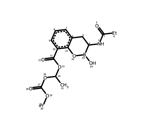 CCC(=O)NC1Cc2cccc(C(=O)OC(C)OC(=O)OC(C)C)c2OB1O